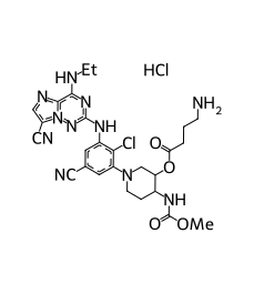 CCNc1nc(Nc2cc(C#N)cc(N3CCC(NC(=O)OC)C(OC(=O)CCCN)C3)c2Cl)nn2c(C#N)cnc12.Cl